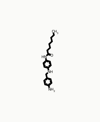 CCCCCCCC(=O)Nc1ccc(NCc2ccc(N)cc2)cc1